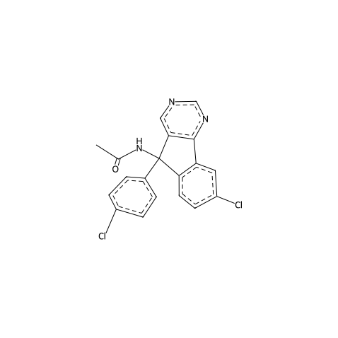 CC(=O)NC1(c2ccc(Cl)cc2)c2ccc(Cl)cc2-c2ncncc21